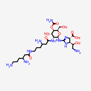 NCCCC(N)CC(=O)NCCCC(N)CC(=O)N[C@@H]1[C@H](O)[C@@H](OC(N)=O)[C@@H](CO)O[C@H]1NC1=N[C@H](C(=O)O)[C@@H](C(O)CN)N1